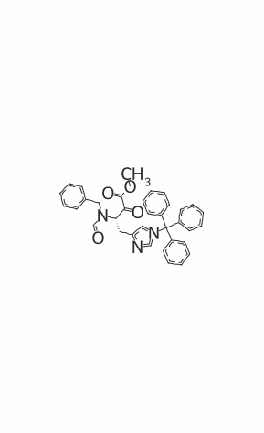 COC(=O)C(=O)[C@H](Cc1cn(C(c2ccccc2)(c2ccccc2)c2ccccc2)cn1)N(C=O)Cc1ccccc1